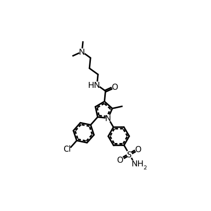 Cc1c(C(=O)NCCCN(C)C)cc(-c2ccc(Cl)cc2)n1-c1ccc(S(N)(=O)=O)cc1